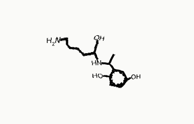 CC(NC(CO)CCCCN)c1cc(O)ccc1O